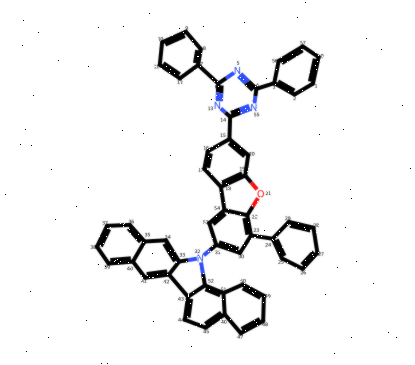 c1ccc(-c2nc(-c3ccccc3)nc(-c3ccc4c(c3)oc3c(-c5ccccc5)cc(-n5c6cc7ccccc7cc6c6ccc7ccccc7c65)cc34)n2)cc1